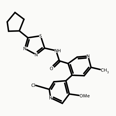 COc1cnc(Cl)cc1-c1cc(C)ncc1C(=O)Nc1nnc(C2CCCC2)s1